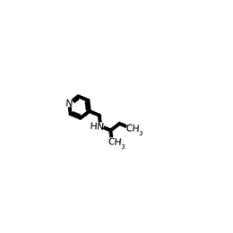 CCC(C)NCc1ccncc1